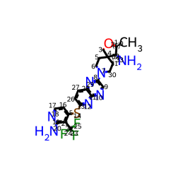 C[C@@H]1OCC2(CCN(c3cnc4nc(Sc5ccnc(N)c5C(F)(F)F)ccc4n3)CC2)[C@@H]1N